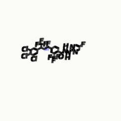 O=C(NNc1ncc(F)cn1)c1ccc(/C(F)=C/C(c2cc(Cl)c(Cl)c(Cl)c2)C(F)(F)F)cc1C(F)(F)F